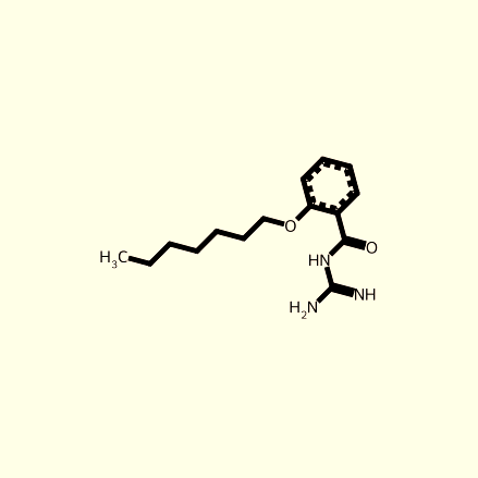 CCCCCCCOc1ccccc1C(=O)NC(=N)N